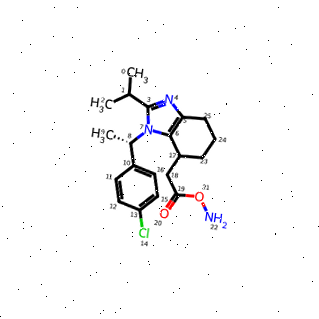 CC(C)c1nc2c(n1[C@@H](C)c1ccc(Cl)cc1)C(CC(=O)ON)CCC2